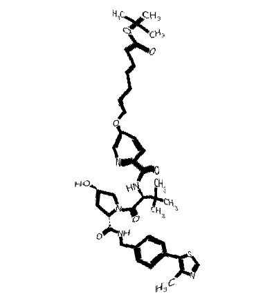 Cc1ncsc1-c1ccc(CNC(=O)[C@@H]2C[C@@H](O)CN2C(=O)[C@@H](NC(=O)c2ccc(OCCCCCCC(=O)OC(C)(C)C)cn2)C(C)(C)C)cc1